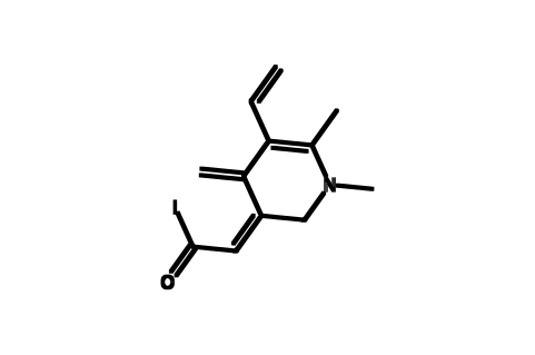 C=CC1=C(C)N(C)C/C(=C/C(=O)I)C1=C